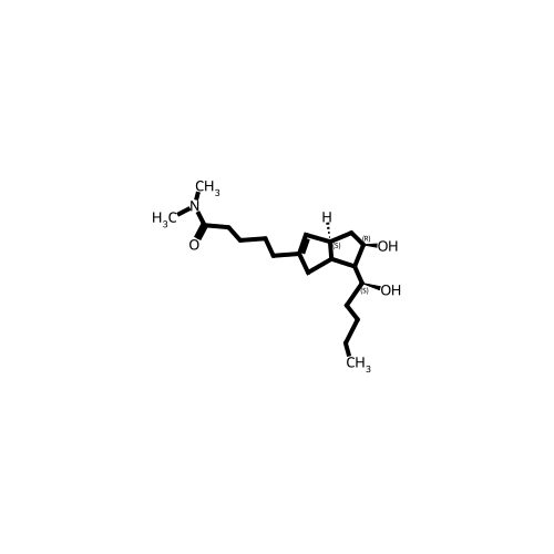 CCCC[C@H](O)C1C2CC(CCCCC(=O)N(C)C)=C[C@H]2C[C@H]1O